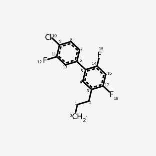 [CH2]CCc1cc(-c2ccc(Cl)c(F)c2)c(F)cc1F